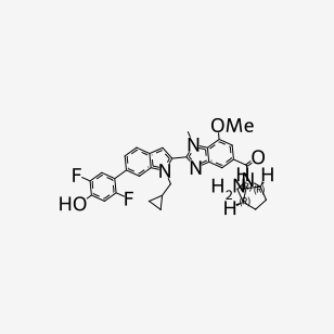 COc1cc(C(=O)N2C[C@H]3CC[C@@H]2[C@@H]3N)cc2nc(-c3cc4ccc(-c5cc(F)c(O)cc5F)cc4n3CC3CC3)n(C)c12